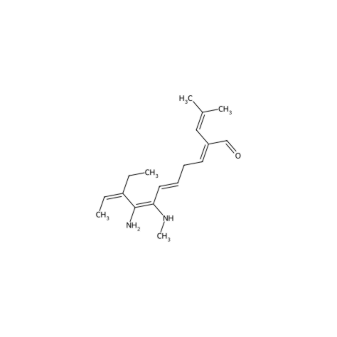 C\C=C(CC)/C(N)=C(\C=C\C/C=C(/C=O)C=C(C)C)NC